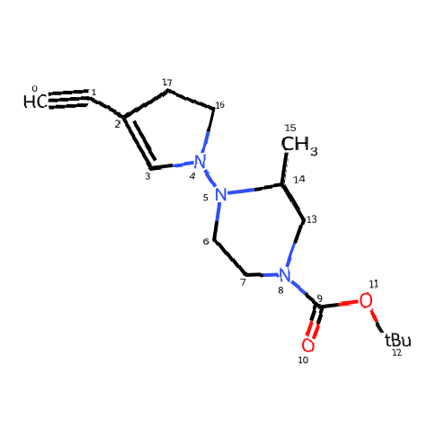 C#CC1=CN(N2CCN(C(=O)OC(C)(C)C)CC2C)CC1